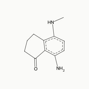 CNc1ccc(N)c2c1CCCC2=O